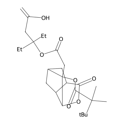 C=C(O)CC(CC)(CC)OC(=O)CC1(OC(=O)C(C)(C)C(C)(C)C)C2CC3C(=O)OC1C3C2